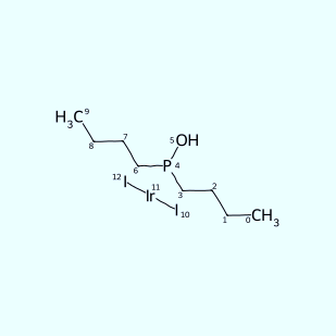 CCCCP(O)CCCC.[I][Ir][I]